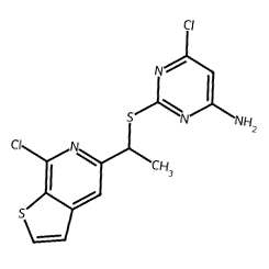 CC(Sc1nc(N)cc(Cl)n1)c1cc2ccsc2c(Cl)n1